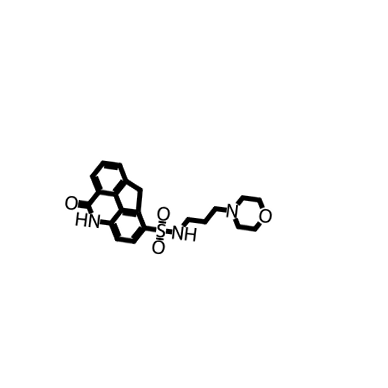 O=c1[nH]c2ccc(S(=O)(=O)NCCCN3CCOCC3)c3c2c2c(cccc12)C3